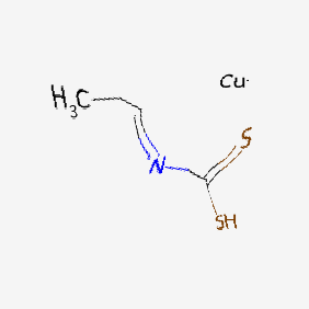 CC=NC(=S)S.[Cu]